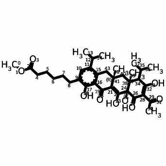 COC(=O)CCCCCc1cc(C(C)C)c2c(c1O)C(=O)C1=C(O)[C@@]3(O)C(=O)C(C(C)=O)=C(O)C(C(C)C)[C@@]3(C)C[C@@]1(C)C2